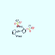 CCCC(C)C1=[C]([Zr+2][C]2=C(C(C)CCC)C=CC2)CC=C1.O=S(=O)([O-])C(F)(F)F.O=S(=O)([O-])C(F)(F)F